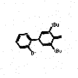 C=C1C(C(C)(C)C)=CC(c2ccccc2Br)C=C1C(C)(C)C